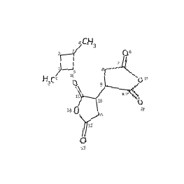 CC1CC(C)C1.O=C1CC(C2CC(=O)OC2=O)C(=O)O1